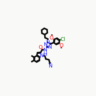 COc1cc(-c2nc(NC(=O)c3cc4c(C)c(C)ccc4n3CCCC#N)nn2CCC2CCCCC2)c(OC)cc1Cl